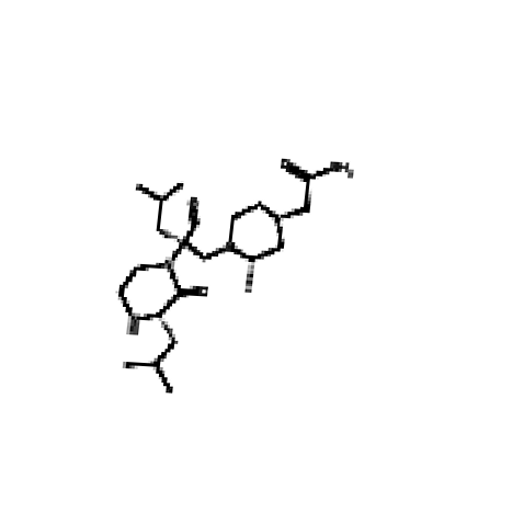 CC(C)C[C@@H]1NCCN([C@](C=O)(CC(C)C)CN2CC[C@@H](CC(N)=O)C[C@@H]2C)C1=O